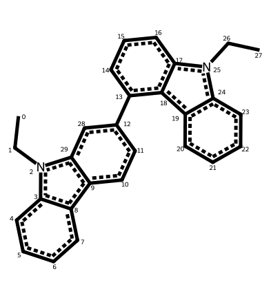 CCn1c2ccccc2c2ccc(-c3cccc4c3c3ccccc3n4CC)cc21